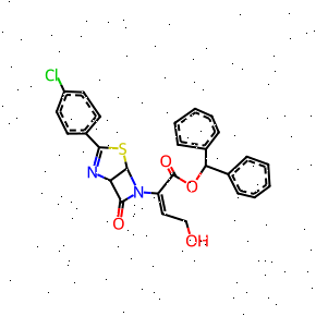 O=C(OC(c1ccccc1)c1ccccc1)C(=CCO)N1C(=O)C2N=C(c3ccc(Cl)cc3)SC21